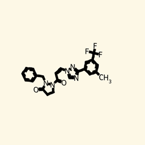 Cc1cc(-c2ncn(/C=C\C(=O)N3CCC(=O)N3Cc3ccccc3)n2)cc(C(F)(F)F)c1